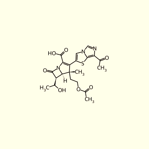 CC(=O)OCC[C@@]1(C)C(c2cn3cnc(C(C)=O)c3s2)=C(C(=O)O)N2C(=O)[C@H](C(C)O)[C@@H]21